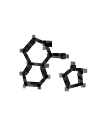 O=c1[nH]ccc2ccccc12.c1cnoc1